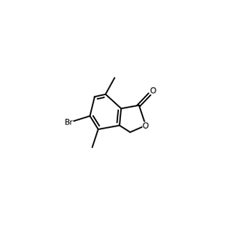 Cc1cc(Br)c(C)c2c1C(=O)OC2